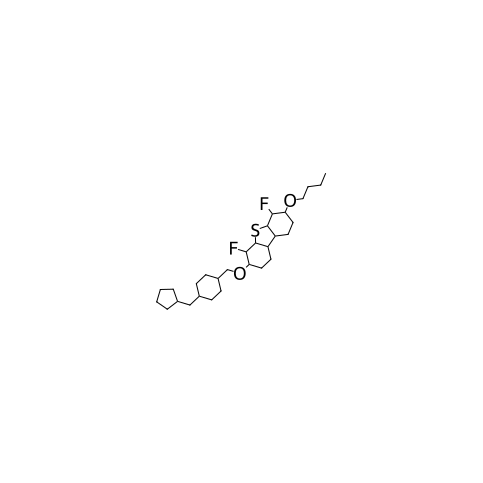 CCCCOC1CCC2C3CCC(OCC4CCC(CC5CCCC5)CC4)C(F)C3SC2C1F